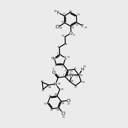 O=C(C1=C(c2cnc(CCCOc3c(F)ccc(F)c3Cl)s2)C[C@@H]2CCC1N2)N(Cc1cccc(Cl)c1Cl)C1CC1